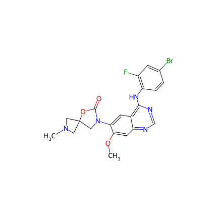 COc1cc2ncnc(Nc3ccc(Br)cc3F)c2cc1N1CC2(CN(C)C2)OC1=O